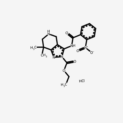 CCOC(=O)n1nc2c(c1NC(=O)c1ccccc1[N+](=O)[O-])CNCC2(C)C.Cl